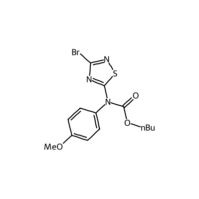 CCCCOC(=O)N(c1ccc(OC)cc1)c1nc(Br)ns1